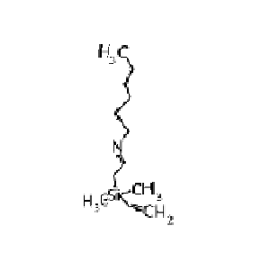 C=C[Si](C)(C)CC=NCCCCCC